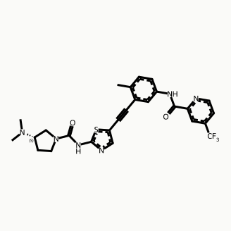 Cc1ccc(NC(=O)c2cc(C(F)(F)F)ccn2)cc1C#Cc1cnc(NC(=O)N2CC[C@H](N(C)C)C2)s1